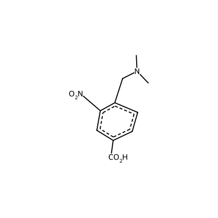 CN(C)Cc1ccc(C(=O)O)cc1[N+](=O)[O-]